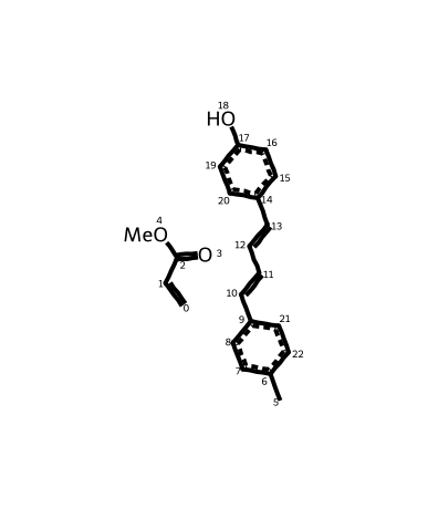 C=CC(=O)OC.Cc1ccc(C=CC=Cc2ccc(O)cc2)cc1